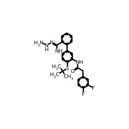 CC(C)(C)Sc1ccc(-c2ccccc2/C(N)=N/NN)cc1NC(=O)Cc1ccc(F)c(F)c1